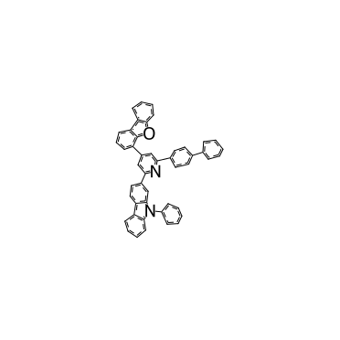 c1ccc(-c2ccc(-c3cc(-c4cccc5c4oc4ccccc45)cc(-c4ccc5c6ccccc6n(-c6ccccc6)c5c4)n3)cc2)cc1